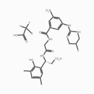 Cc1cc(C)c(O)c([C@@H](CC(=O)O)NC(=O)CNC(=O)c2cc(NC3=NCC(F)CN3)cc([N+](=O)[O-])c2)c1.O=C(O)C(F)(F)F